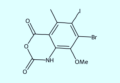 COc1c(Br)c(I)c(C)c2c(=O)oc(=O)[nH]c12